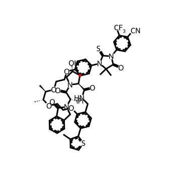 Cc1ccsc1-c1ccc(CNC(=O)[C@@H]2C[C@@H](O)CN2C(=O)[C@H](C(C)C)N2Cc3ccccc3C2=O)c(OCCO[C@H](C)[C@@H](C)OCCOc2ccc(N3C(=S)N(c4ccc(C#N)c(C(F)(F)F)c4)C(=O)C3(C)C)cc2)c1